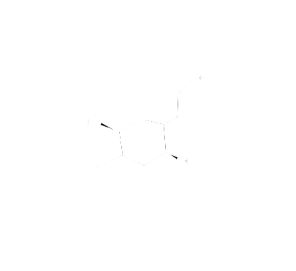 C[C@@H]1C(O)[C@@H](C)OC([C@@H](O)CO)[C@H]1O